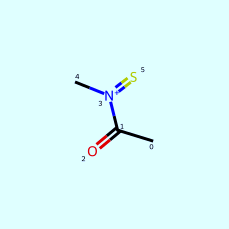 CC(=O)[N+](C)=S